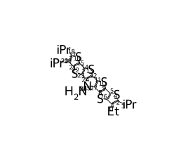 CCc1c(C(C)C)sc2c1sc1c2sc2c3sc4c5sc(C(C)C)c(C(C)C)c5sc4c3n(N)c12